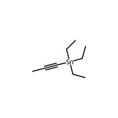 CC#[C][Sn]([CH2]C)([CH2]C)[CH2]C